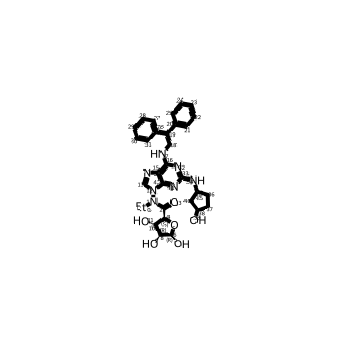 CCN(C(=O)[C@H]1O[C@@H](O)[C@H](O)[C@@H]1O)n1cnc2c(NCC(c3ccccc3)c3ccccc3)nc(NC3CCC(O)C3)nc21